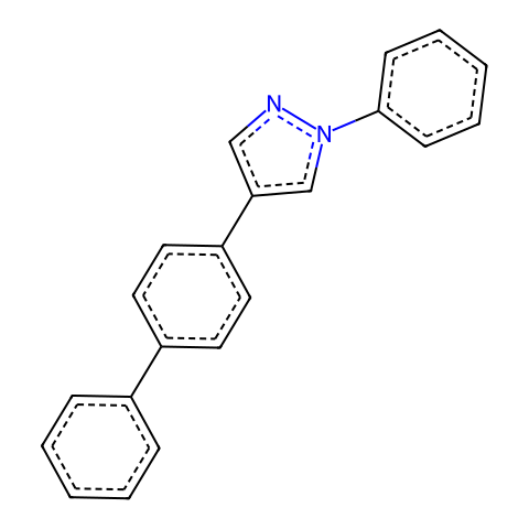 c1ccc(-c2ccc(-c3cnn(-c4ccccc4)c3)cc2)cc1